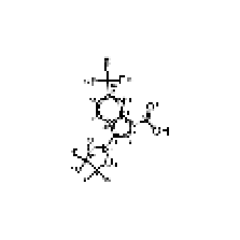 CC1(C)OB(c2cn(C(=O)O)c3nc(C(F)(F)F)ccc23)OC1(C)C